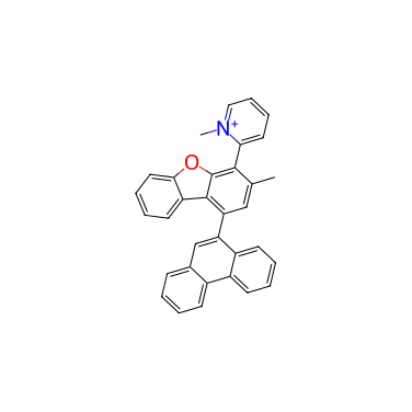 Cc1cc(-c2cc3ccccc3c3ccccc23)c2c(oc3ccccc32)c1-c1cccc[n+]1C